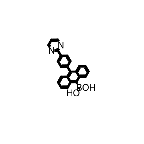 OB(O)c1c2ccccc2c(-c2ccc(-c3ncccn3)cc2)c2ccccc12